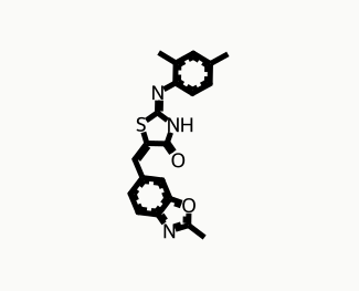 Cc1ccc(N=C2NC(=O)C(=Cc3ccc4nc(C)oc4c3)S2)c(C)c1